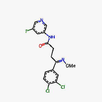 CON=C(CCC(=O)Nc1cncc(F)c1)c1ccc(Cl)c(Cl)c1